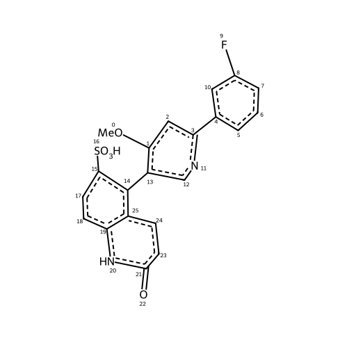 COc1cc(-c2cccc(F)c2)ncc1-c1c(S(=O)(=O)O)ccc2[nH]c(=O)ccc12